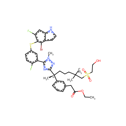 CCOC(=O)Cc1cccc([C@@](C)(CCCC(C)(C)CS(=O)(=O)CCO)c2nc(-c3cc(Sc4c(F)cc5[nH]ccc5c4Br)ccc3F)n(C)n2)c1